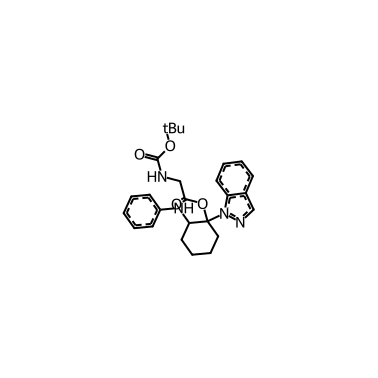 CC(C)(C)OC(=O)NCC(=O)OC1(n2ncc3ccccc32)CCCCC1Nc1ccccc1